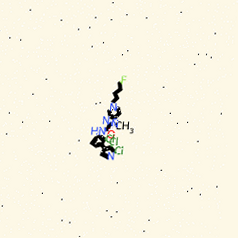 Cn1c(C(=O)Nc2cccc(-c3ccnc(Cl)c3Cl)c2Cl)nc2c1CCN(CCCCCF)C2